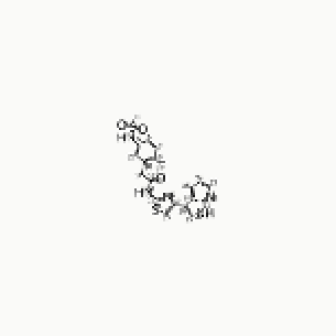 CS(=O)(=O)Nc1ccc(F)c(CC(=O)Nc2nc(-c3c[nH]c4ncccc34)cs2)c1